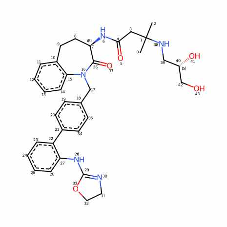 CC(C)(CC(=O)N[C@@H]1CCc2ccccc2N(Cc2ccc(-c3ccccc3NC3=NCCO3)cc2)C1=O)NC[C@H](O)CO